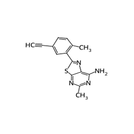 C#Cc1ccc(C)c(-c2nc3c(N)nc(C)nc3s2)c1